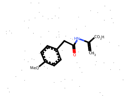 C=C(NC(=O)Cc1ccc(OC)cc1)C(=O)O